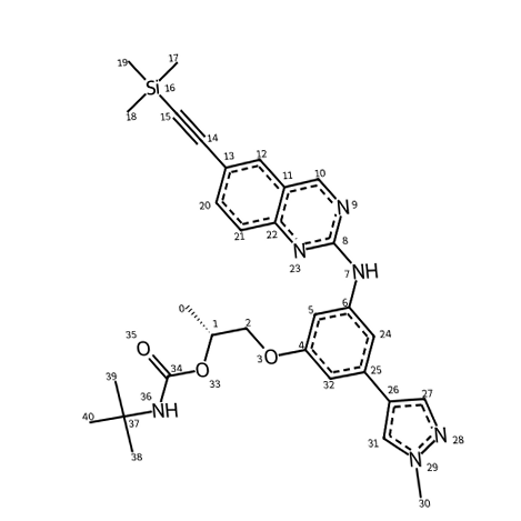 C[C@H](COc1cc(Nc2ncc3cc(C#C[Si](C)(C)C)ccc3n2)cc(-c2cnn(C)c2)c1)OC(=O)NC(C)(C)C